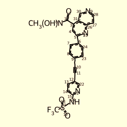 CN(O)C(=O)c1cc(-c2ccc(C#Cc3ccc(NS(=O)(=O)C(F)(F)F)nc3)cc2)nc2ccncc12